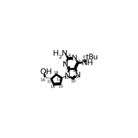 CC(C)(C)Nc1nc(N)nc2c1ncn2[C@@H]1C=C[C@H](CO)C1